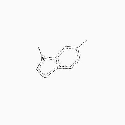 Cc1ccc2c[c]n(C)c2c1